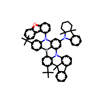 CC(C)(C)c1ccc2c(c1)N(c1cccc3oc4ccccc4c13)c1cc(N3c4ccccc4C4(C)CCCCC34C)cc3c1B2c1ccc(C(C)(C)C)c2c1N3c1cccc3c1C2(C)c1ccccc1-3